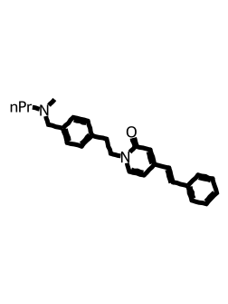 CCCN(C)Cc1ccc(CCn2ccc(C=Cc3ccccc3)cc2=O)cc1